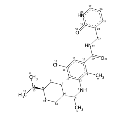 Cc1c(NC(C)[C@H]2CC[C@H](N(C)C)CC2)cc(Cl)cc1C(=O)NCc1ccc[nH]c1=O